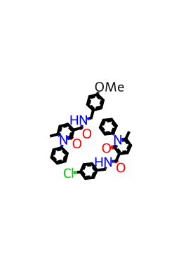 COc1ccc(CNC(=O)c2ccc(C)n(-c3ccccc3)c2=O)cc1.Cc1ccc(C(=O)NCc2ccc(Cl)cc2)c(=O)n1-c1ccccc1